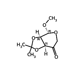 CO[C@@H]1OCC(=O)[C@H]2OC(C)(C)O[C@@H]12